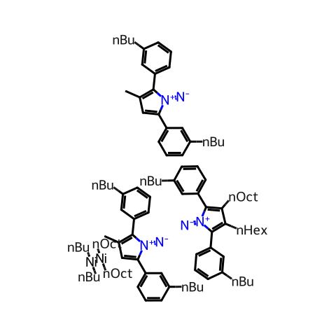 CCCCCCCCC1=C(c2cccc(CCCC)c2)[N+](=[N-])C(c2cccc(CCCC)c2)=C1CCCCCC.CCCCCCC[CH2][Ni][CH2]CCCCCCC.CCCCc1cccc(C2=CC(C)=C(c3cccc(CCCC)c3)[N+]2=[N-])c1.CCCCc1cccc(C2=CC(C)=C(c3cccc(CCCC)c3)[N+]2=[N-])c1.CCC[CH2][Ni][CH2]CCC